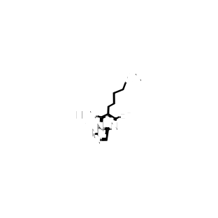 CCc1nc2cnnn2c(N)c1CCCCCC#N